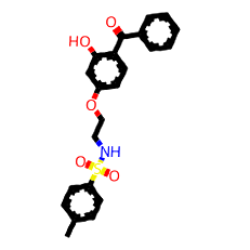 Cc1ccc(S(=O)(=O)NCCOc2ccc(C(=O)c3ccccc3)c(O)c2)cc1